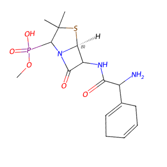 COP(=O)(O)C1N2C(=O)C(NC(=O)C(N)C3=CCC=CC3)[C@@H]2SC1(C)C